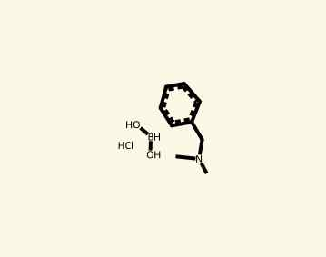 CN(C)Cc1ccccc1.Cl.OBO